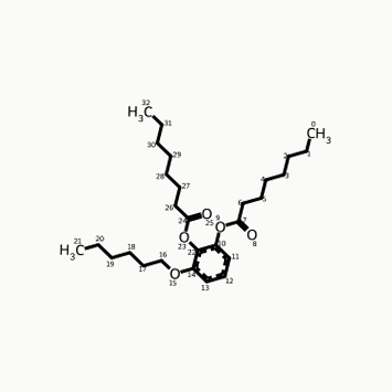 CCCCCCCC(=O)Oc1cccc(OCCCCCC)c1OC(=O)CCCCCCC